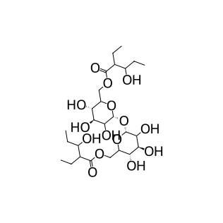 CCC(O)C(CC)C(=O)OCC1O[C@H](O[C@H]2OC(COC(=O)C(CC)C(O)CC)[C@@H](O)[C@H](O)C2O)C(O)[C@@H](O)[C@@H]1O